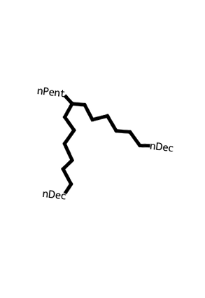 [CH2]CCCCC(CCCCCCCCCCCCCCCC)CCCCCCCCCCCCCCCC